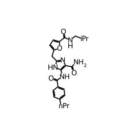 CCCc1ccc(C(=O)Nc2[nH]c(Cc3ccc(C(=O)NCC(C)C)o3)nc2C(N)=O)cc1